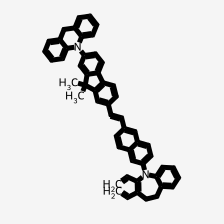 C=CC1=C(C=C)N(c2ccc3cc(/C=C/c4ccc5c(c4)C(C)(C)c4cc(N6c7ccccc7Cc7ccccc76)ccc4-5)ccc3c2)c2ccccc2CC1